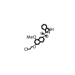 COc1cc(OCCCl)cc2ccc(S(=O)(=O)c3n[nH]c4ccccc34)cc12